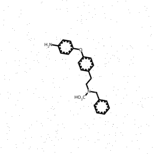 Nc1ccc(Oc2ccc(CCN(Cc3ccccc3)C(=O)O)cc2)cc1